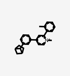 Cc1ccccc1-c1cc(-c2cccc(C3C4CCC3C4)c2)cc[n+]1C